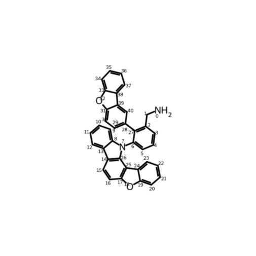 NCc1cccc(-n2c3ccccc3c3ccc4oc5ccccc5c4c32)c1-c1ccc2oc3ccccc3c2c1